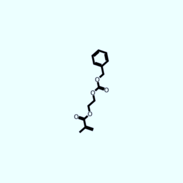 C=C(C)C(=O)OCCOC(=O)OCc1ccccc1